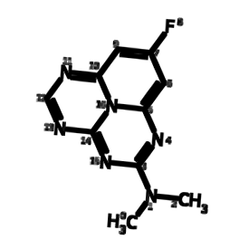 CN(C)C1=NC2=CC(F)=CC3=NC=NC(=N1)N23